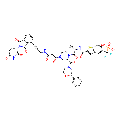 CC(C)(C)[C@H](NC(=O)c1cc2cc(C(F)(F)P(=O)(O)O)ccc2s1)C(=O)N1CCN(C(=O)CC(=O)NCC#Cc2cccc3c2C(=O)N(C2CCC(=O)NC2=O)C3=O)C[C@H]1C(=O)N1CCO[C@H](c2ccccc2)C1